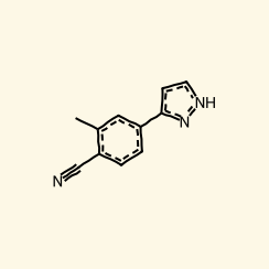 Cc1cc(-c2cc[nH]n2)ccc1C#N